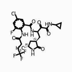 C[C@@H]1C[C@@H](CC(NC(=O)c2cc(Cl)cc(F)c2NC(=O)CCC(F)(F)F)C(=O)C(=O)NC2CC2)C(=O)N1